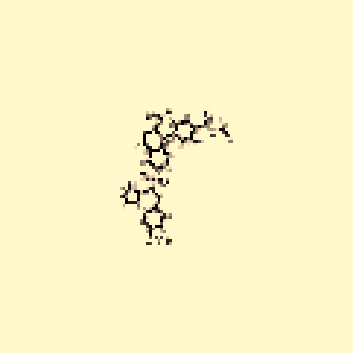 COc1ccc(CN(c2ccon2)S(=O)(=O)c2ccc3c(ccc(=O)n3-c3cc(F)c(C(OC=S)C(F)(F)F)cc3OC)c2)cc1